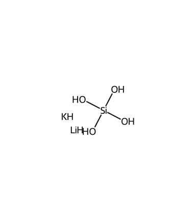 O[Si](O)(O)O.[KH].[LiH]